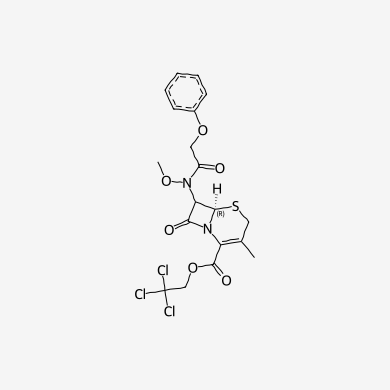 CON(C(=O)COc1ccccc1)C1C(=O)N2C(C(=O)OCC(Cl)(Cl)Cl)=C(C)CS[C@H]12